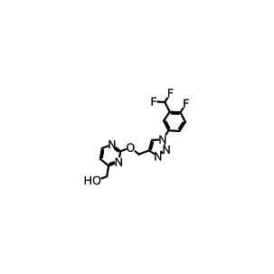 OCc1ccnc(OCc2cn(-c3ccc(F)c(C(F)F)c3)nn2)n1